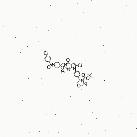 CC(C)(C)OC(=O)N1C(c2ccc(-n3c(Cl)cc4c(=O)n(CC5(O)CCN(C(=O)c6ccc(Cl)cc6)CC5)cnc43)cc2)COCC12CC2